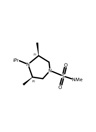 CNS(=O)(=O)N1C[C@@H](C)N(C(C)C)[C@@H](C)C1